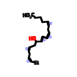 CC/C=C\C/C=C\CC(O)/C=C/C=C\C/C=C\CCCC(=O)O